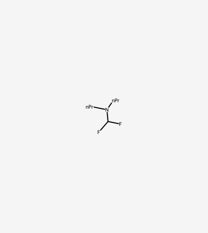 CCCN(CCC)C(F)F